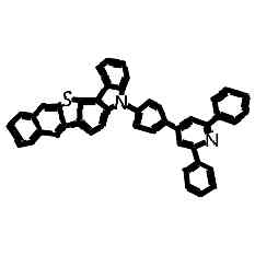 c1ccc(-c2cc(-c3ccc(-n4c5ccccc5c5c6sc7cc8ccccc8cc7c6ccc54)cc3)cc(-c3ccccc3)n2)cc1